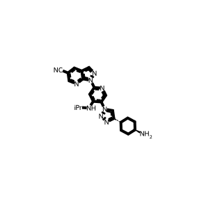 CC(C)Nc1cc(-n2ncc3cc(C#N)cnc32)ncc1-n1cc([C@H]2CC[C@H](N)CC2)nn1